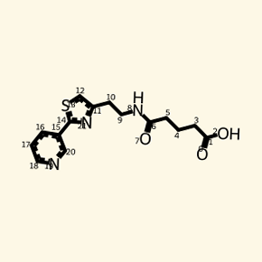 O=C(O)CCCC(=O)NCCc1csc(-c2cccnc2)n1